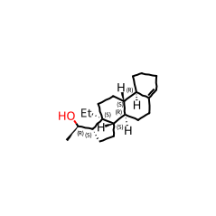 CC[C@]12CC[C@H]3[C@@H](CCC4=CCCC[C@@H]43)[C@@H]1CC[C@@H]2[C@@H](C)O